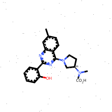 Cc1ccc2c(N3CC[C@@H](N(C)C(=O)O)C3)nc(-c3ccccc3O)nc2c1